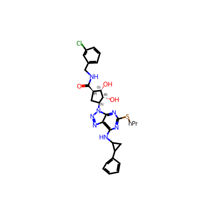 CCCSc1nc(NC2CC2c2ccccc2)c2nnn([C@H]3C[C@@H](C(=O)NCc4cccc(Cl)c4)[C@H](O)[C@@H]3O)c2n1